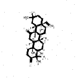 C=C[C@]12CCC(C)(C)C[C@H]1[C@H]1C(=O)C[C@@H]3[C@@]4(C)CCC(=O)C(C)(C)[C@@H]4CC[C@@]3(C)[C@]1(C)CC2